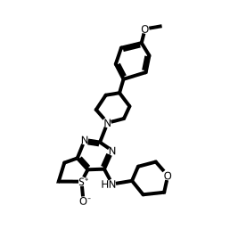 COc1ccc(C2CCN(c3nc4c(c(NC5CCOCC5)n3)[S+]([O-])CC4)CC2)cc1